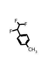 Cc1ccc(C(F)[C](F)F)cc1